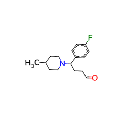 CC1CCN(C(CCC=O)c2ccc(F)cc2)CC1